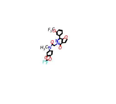 CN(C(=O)Cn1nc(-c2cccc(OC(F)(F)F)c2)c2occc2c1=O)c1ccc2c(c1)OC(F)(F)O2